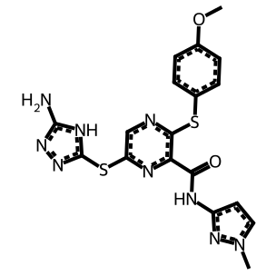 COc1ccc(Sc2ncc(Sc3nnc(N)[nH]3)nc2C(=O)Nc2ccn(C)n2)cc1